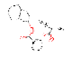 C=C(C)C(=O)Oc1ccccc1C(=O)OC1CCC2CCCCC2C1